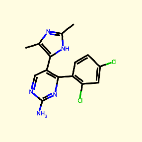 Cc1nc(C)c(-c2cnc(N)nc2-c2ccc(Cl)cc2Cl)[nH]1